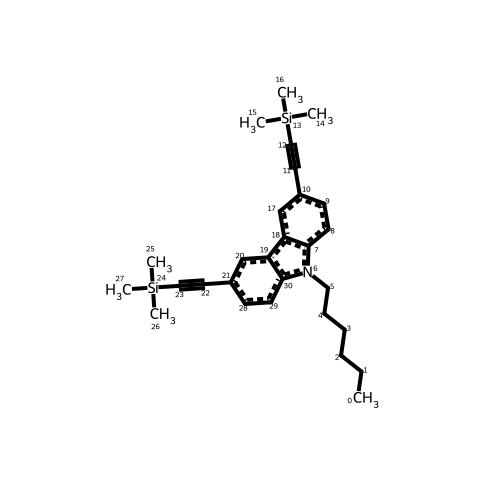 CCCCCCn1c2ccc(C#C[Si](C)(C)C)cc2c2cc(C#C[Si](C)(C)C)ccc21